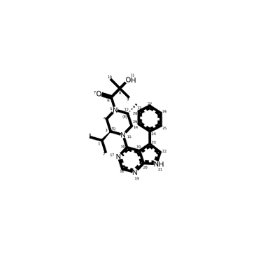 CC(C)[C@H]1CN(C(=O)C(C)(C)O)[C@H](C)CN1c1ncnc2[nH]cc(-c3ccccc3)c12